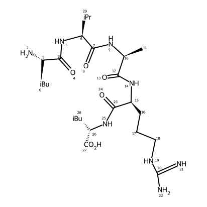 CC[C@H](C)[C@H](N)C(=O)N[C@H](C(=O)N[C@@H](C)C(=O)N[C@@H](CCCNC(=N)N)C(=O)N[C@H](C(=O)O)[C@@H](C)CC)C(C)C